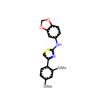 COc1ccc(-c2csc(Nc3ccc4c(c3)OCO4)n2)c(OC)c1